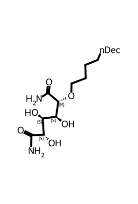 CCCCCCCCCCCCCCO[C@@H](C(N)=O)[C@@H](O)[C@H](O)[C@H](O)C(N)=O